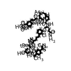 CC(=O)N1CC[C@H]2CC[C@@H](C(=O)N[C@@H](CCC(N)=O)COc3cccc(CCCc4cn([C@H](C(=O)N5C[C@H](O)C[C@H]5C(=O)N[C@@H](C)c5ccc(-c6scnc6C)cc5)C(C)(C)C)nn4)c3Cl)N2C(=O)[C@@H](NC(=O)c2cc3cc(C(=O)P(=O)(O)O)ccc3[nH]2)C1